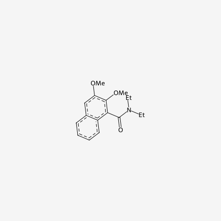 CCN(CC)C(=O)c1c(OC)c(OC)cc2ccccc12